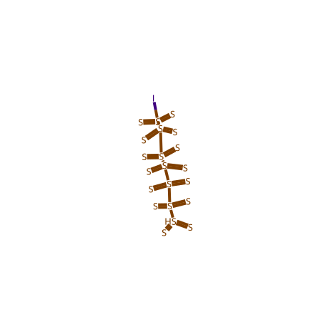 S=[SH](=S)S(=S)(=S)S(=S)(=S)S(=S)(=S)S(=S)(=S)S(=S)(=S)S(=S)(=S)I